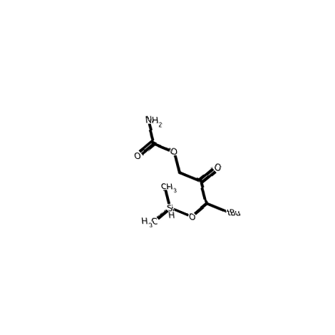 C[SiH](C)OC(C(=O)COC(N)=O)C(C)(C)C